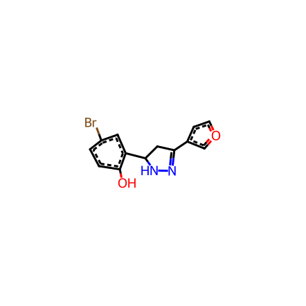 Oc1ccc(Br)cc1C1CC(c2ccoc2)=NN1